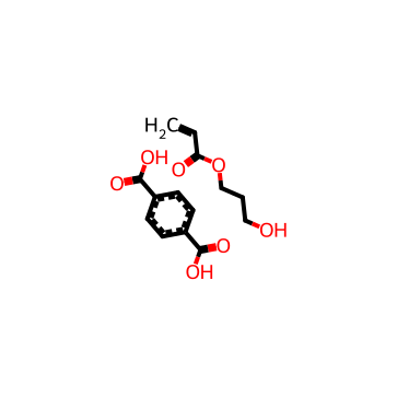 C=CC(=O)OCCCO.O=C(O)c1ccc(C(=O)O)cc1